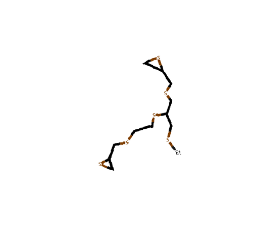 CCSCC(CSCC1CS1)SCCSCC1CS1